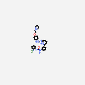 O=C(Nc1cccc(-c2cccc3nc(Nc4ccc(OCCN5CCCC5)cc4)nn23)c1)Nc1ccccc1Cl